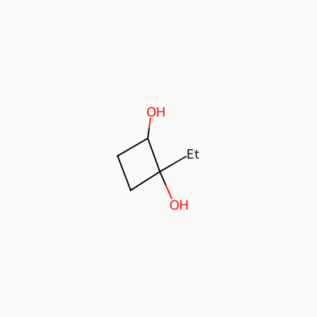 CCC1(O)CCC1O